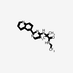 CC(C)(Nc1ccnc(-c2ccc3ncccc3c2)n1)C(=O)NCC(F)(F)F